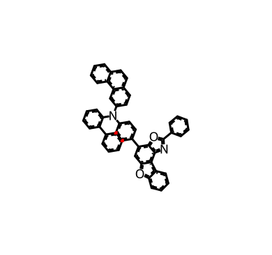 c1ccc(-c2nc3c(o2)c(-c2ccc(N(c4ccc5ccc6ccccc6c5c4)c4ccccc4-c4ccccc4)cc2)cc2oc4ccccc4c23)cc1